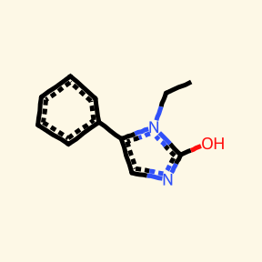 CCn1c(-c2ccccc2)cnc1O